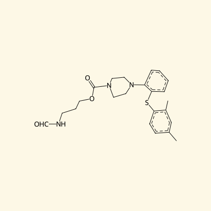 Cc1ccc(Sc2ccccc2N2CCN(C(=O)OCCCNC=O)CC2)c(C)c1